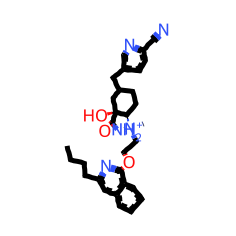 CCCCc1cc2ccccc2c(OCC[N+](C)(C)[C@H]2CCC(Cc3ccc(C#N)nc3)C[C@@]2(O)C(N)=O)n1